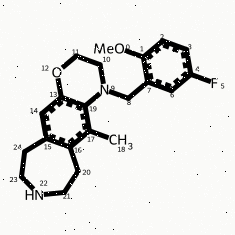 COc1ccc(F)cc1CN1CCOc2cc3c(c(C)c21)CCNCC3